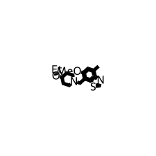 CCOC1CCN(Cc2c(OC)cc(C)c3ncsc23)CC1